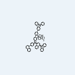 CC1(C)c2cc(-c3ccc4c(c3)c3ccccc3n4-c3ccccc3)ccc2-c2ccc(N(c3ccc(-c4cccc5ccccc45)cc3)c3ccc(-n4c5ccccc5c5ccccc54)c4ccccc34)cc21